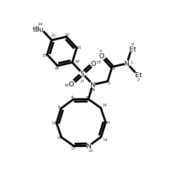 CCN(CC)C(=O)CN(/C1=C/C=C\C/C=N\C=C/C1)S(=O)(=O)c1ccc(C(C)(C)C)cc1